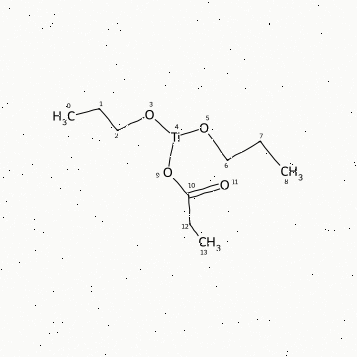 CCC[O][Ti]([O]CCC)[O]C(=O)CC